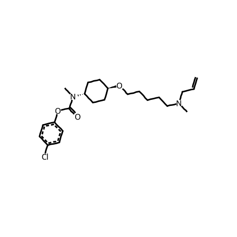 C=CCN(C)CCCCCO[C@H]1CC[C@H](N(C)C(=O)Oc2ccc(Cl)cc2)CC1